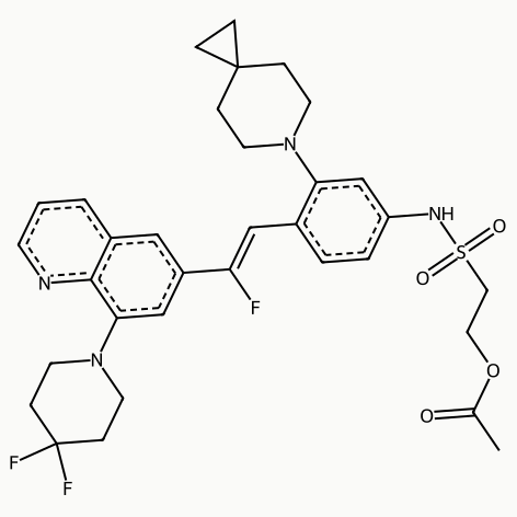 CC(=O)OCCS(=O)(=O)Nc1ccc(C=C(F)c2cc(N3CCC(F)(F)CC3)c3ncccc3c2)c(N2CCC3(CC2)CC3)c1